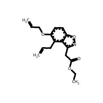 C=CCOc1ccc2onc(CC(=O)OCC)c2c1CC=C